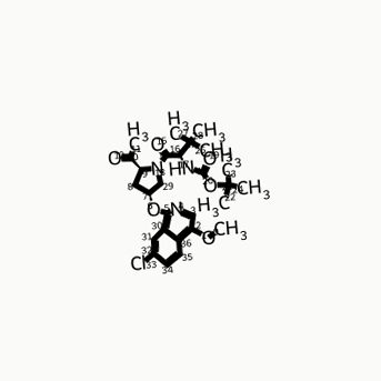 COc1cnc(O[C@@H]2C[C@@H](C(C)=O)N(C(=O)[C@@H](NC(=O)OC(C)(C)C)C(C)(C)C)C2)c2cc(Cl)ccc12